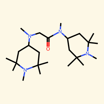 CN(CC(=O)N(C)C1CC(C)(C)N(C)C(C)(C)C1)C1CC(C)(C)N(C)C(C)(C)C1